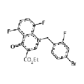 CCOC(=O)c1cn(Cc2ccc(Br)cc2F)c2c(F)ccc(F)c2c1=O